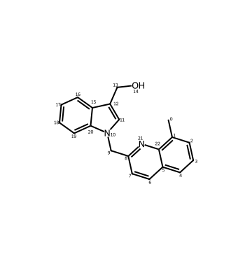 Cc1cccc2ccc(Cn3cc(CO)c4ccccc43)nc12